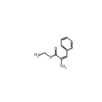 CC(=Cc1ccccc1)C(=O)OCN